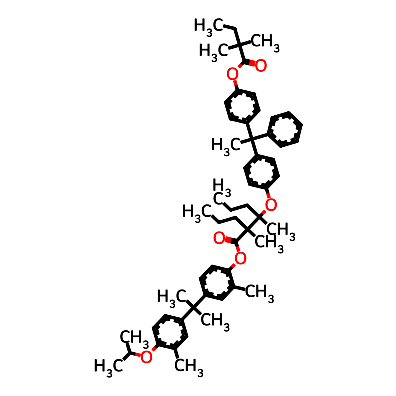 CCCC(C)(Oc1ccc(C(C)(c2ccccc2)c2ccc(OC(=O)C(C)(C)CC)cc2)cc1)C(C)(CCC)C(=O)Oc1ccc(C(C)(C)c2ccc(OC(C)C)c(C)c2)cc1C